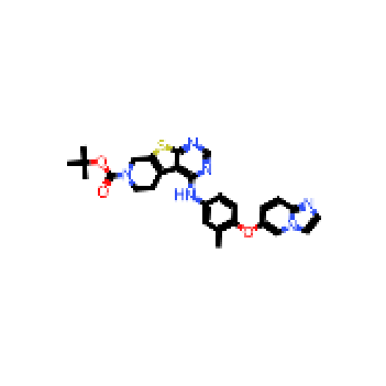 Cc1cc(Nc2ncnc3sc4c(c23)CCN(C(=O)OC(C)(C)C)C4)ccc1Oc1ccc2nccn2c1